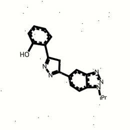 CC(C)n1nnc2cc(C3=NN=C(c4ccccc4O)C3)ccc21